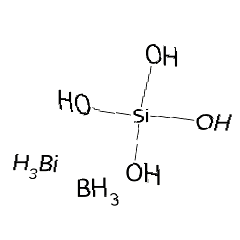 B.O[Si](O)(O)O.[BiH3]